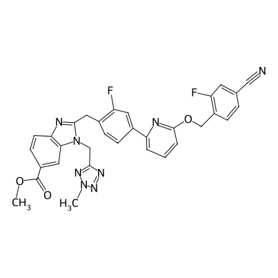 COC(=O)c1ccc2nc(Cc3ccc(-c4cccc(OCc5ccc(C#N)cc5F)n4)cc3F)n(Cc3nnn(C)n3)c2c1